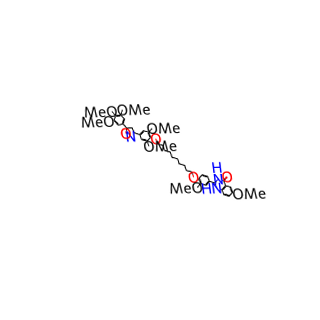 COc1ccc2c(c1)C(=O)NC(c1ccc(OCCCCCCCCCCOc3c(OC)cc(C4=NOC(c5cc(OC)c(OC)c(OC)c5)C4)cc3OC)c(OC)c1)N2